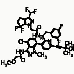 COCC(=O)Nc1nn(C)c2c(-c3ccc(C#CC(C)(C)O)nc3[C@H](Cc3cc(F)cc(F)c3)NC(=O)Cn3nc(C(F)F)c4c3C(F)(F)CC4)ccc(Cl)c12